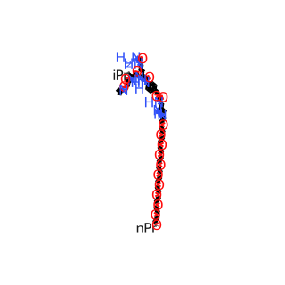 CCCOCCOCCOCCOCCOCCOCCOCCOCCOCCOCCOCCn1cc(CNC(=O)OCc2ccc(NC(=O)[C@H](CCCNC(N)=O)NC(=O)[C@H](CC(C)C)NC(=O)CON=C(C)C)cc2)nn1